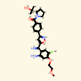 COCCOc1cc(N)c(C(=N)c2cc(-c3ccc(C(=O)N4CCC[C@H]4C(C)(C)O)cc3)no2)cc1F